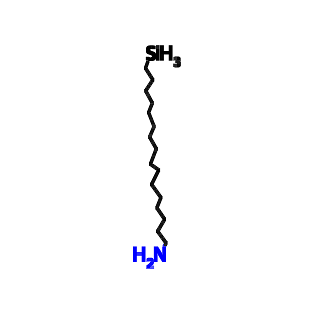 NCCCCCCCCCCCCCCCC[SiH3]